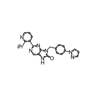 CC(C)c1ncccc1-c1ncc2[nH]c(=O)n(Cc3ccc(-n4cccn4)cc3)c2n1